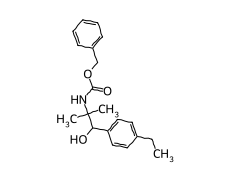 CCc1ccc(C(O)C(C)(C)NC(=O)OCc2ccccc2)cc1